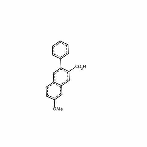 COc1ccc2cc(-c3ccccc3)c(C(=O)O)cc2c1